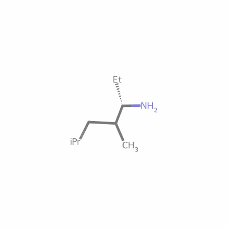 CC[C@H](N)C(C)CC(C)C